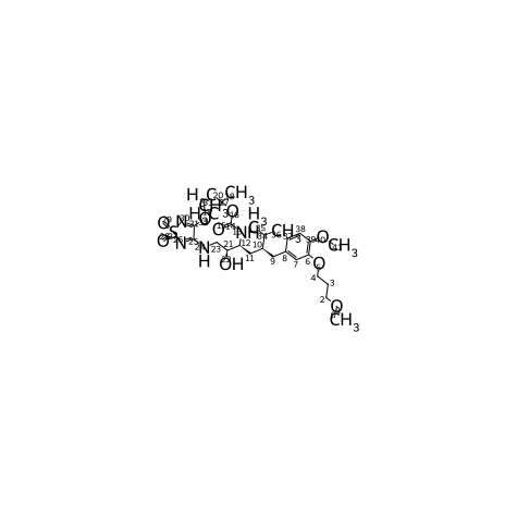 COCCCOc1cc(C[C@@H](C[C@H](NC(=O)OC(C)(C)C)[C@@H](O)CNC2=NS(=O)(=O)N=C2OC)C(C)C)ccc1OC